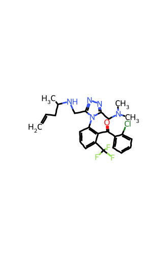 C=CCC(C)NCc1nnc(CN(C)C)n1-c1cccc(C(F)(F)F)c1C(=O)c1ccccc1Cl